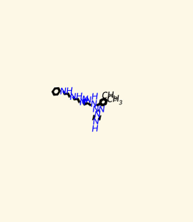 Cc1cc2nc(N3CCNCC3)nc(NCc3cn(CCCNCCCNC4CCCCC4)nn3)c2cc1C